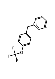 FC(F)(F)Oc1ccc(C[n+]2c[c]ccc2)cc1